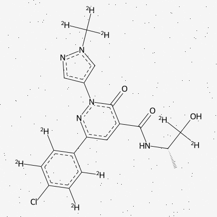 [2H]c1c([2H])c(-c2cc(C(=O)N[C@@H](C)C([2H])([2H])O)c(=O)n(-c3cnn(C([2H])([2H])[2H])c3)n2)c([2H])c([2H])c1Cl